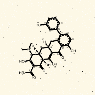 CN(C)[C@@H]1C(O)=C(C(N)=O)C(=O)[C@@]2(O)C(O)=C3C(=O)c4c(O)ccc(-c5cccc(O)c5)c4C[C@H]3C[C@@H]12